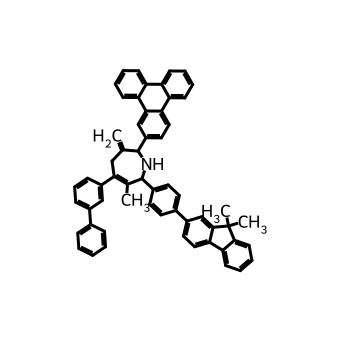 C=C1CC(c2cccc(-c3ccccc3)c2)=C(C)C(c2ccc(-c3ccc4c(c3)C(C)(C)c3ccccc3-4)cc2)NC1c1ccc2c3ccccc3c3ccccc3c2c1